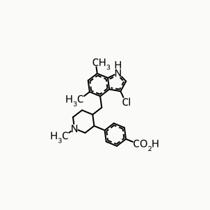 Cc1cc(C)c2[nH]cc(Cl)c2c1CC1CCN(C)CC1c1ccc(C(=O)O)cc1